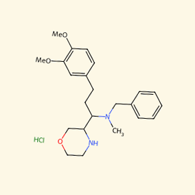 COc1ccc(CCC(C2COCCN2)N(C)Cc2ccccc2)cc1OC.Cl